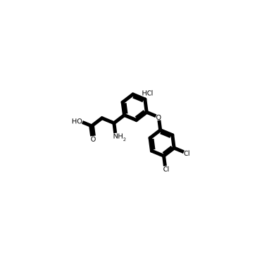 Cl.NC(CC(=O)O)c1cccc(Oc2ccc(Cl)c(Cl)c2)c1